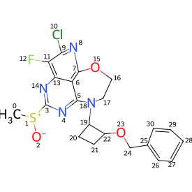 C[S+]([O-])c1nc2c3c(nc(Cl)c(F)c3n1)OCCN2C1CCC1OCc1ccccc1